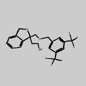 OCCC1(COCc2cc(C(F)(F)F)cc(C(F)(F)F)c2)OCc2ccccc21